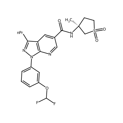 CCCc1nn(-c2cccc(OC(F)F)c2)c2ncc(C(=O)N[C@@]3(C)CCS(=O)(=O)C3)cc12